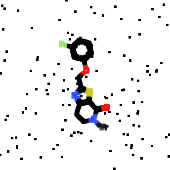 CC(C)N1CCc2nc(COc3cccc(F)c3)sc2C1=O